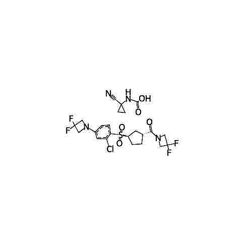 N#CC1(NC(=O)O)CC1.O=C([C@@H]1CC[C@@H](S(=O)(=O)c2ccc(N3CC(F)(F)C3)cc2Cl)C1)N1CC(F)(F)C1